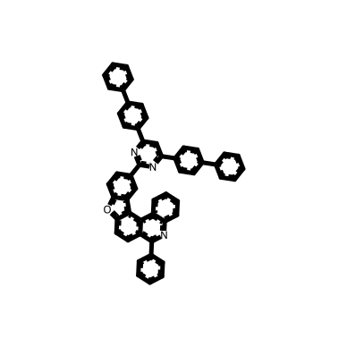 c1ccc(-c2ccc(-c3cc(-c4ccc(-c5ccccc5)cc4)nc(-c4ccc5oc6ccc7c(-c8ccccc8)nc8ccccc8c7c6c5c4)n3)cc2)cc1